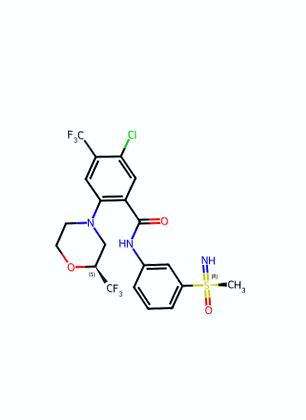 C[S@@](=N)(=O)c1cccc(NC(=O)c2cc(Cl)c(C(F)(F)F)cc2N2CCO[C@H](C(F)(F)F)C2)c1